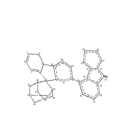 C1=CCC2C(=C1)C1(c3cc(-c4cccc5[nH]c6ccccc6c45)ccc32)C2CC3CC(C2)CC1C3